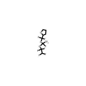 FC(F)C(F)(F)OC(F)(OC(F)(F)C1CCCO1)C(F)(F)F